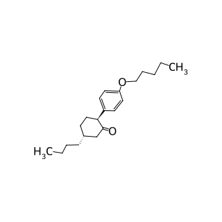 CCCCCOc1ccc([C@@H]2CC[C@@H](CCCC)CC2=O)cc1